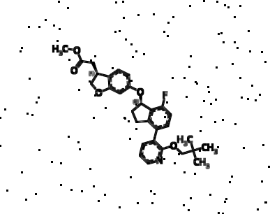 COC(=O)C[C@@H]1COc2cc(O[C@@H]3CCc4c(-c5cccnc5OCC(C)(C)C)ccc(F)c43)ccc21